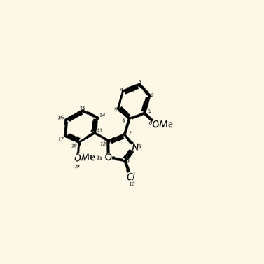 COc1ccccc1-c1nc(Cl)oc1-c1ccccc1OC